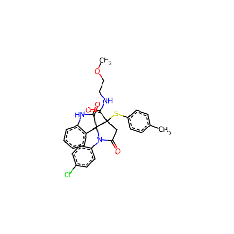 COCCNC(=O)C1(Sc2ccc(C)cc2)CC(=O)N(c2ccc(Cl)cc2)C12C(=O)Nc1ccccc12